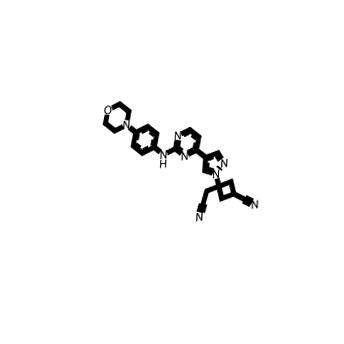 N#CCC1(n2cc(-c3ccnc(Nc4ccc(N5CCOCC5)cc4)n3)cn2)CC(C#N)C1